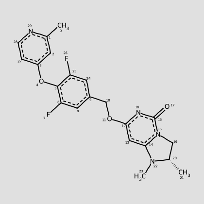 Cc1cc(Oc2c(F)cc(COc3cc4n(c(=O)n3)C[C@H](C)N4C)cc2F)ccn1